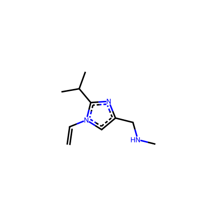 C=Cn1cc(CNC)nc1C(C)C